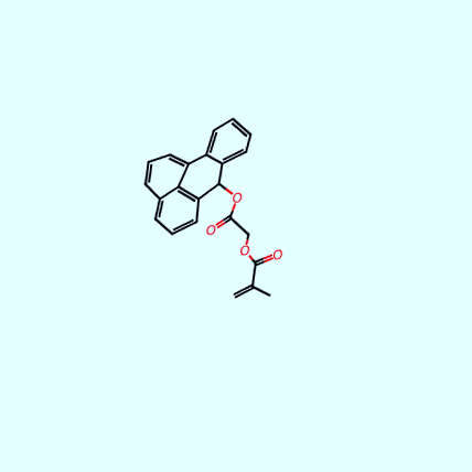 C=C(C)C(=O)OCC(=O)OC1c2ccccc2-c2cccc3cccc1c23